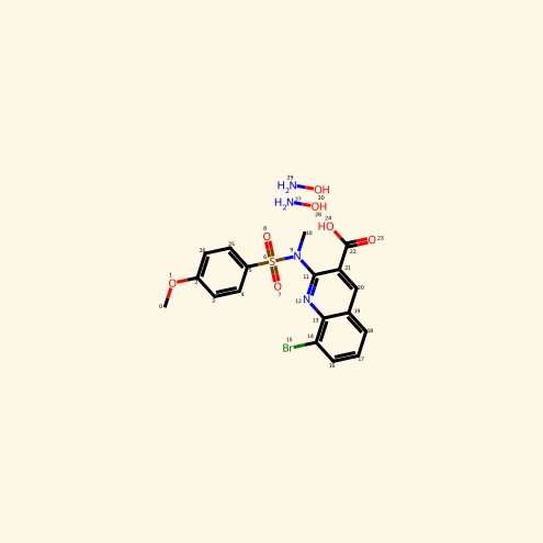 COc1ccc(S(=O)(=O)N(C)c2nc3c(Br)cccc3cc2C(=O)O)cc1.NO.NO